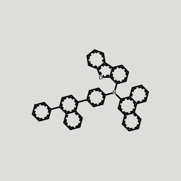 c1ccc(-c2ccc(-c3ccc(N(c4cc5ccccc5c5ccccc45)c4cccc5c4oc4ccccc45)cc3)c3ccccc23)cc1